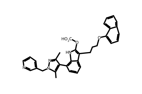 Cc1nn(Cc2cccnc2)c(C)c1-c1cccc2c(CCCOc3cccc4ccccc34)c(OC(=O)O)[nH]c12